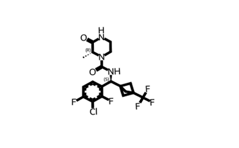 C[C@@H]1C(=O)NCCN1C(=O)N[C@H](c1ccc(F)c(Cl)c1F)C12CC(C(F)(F)F)(C1)C2